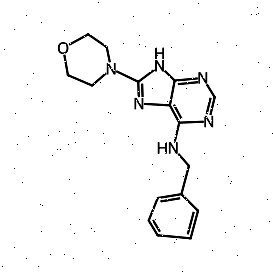 c1ccc(CNc2ncnc3[nH]c(N4CCOCC4)nc23)cc1